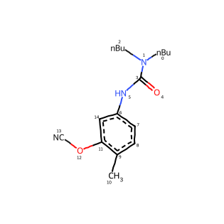 CCCCN(CCCC)C(=O)Nc1ccc(C)c(OC#N)c1